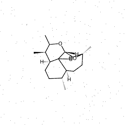 CC1O[C@@H]2O[C@]3(C)CC[C@H]4[C@H](C)CC[C@@H]([C@H]1C)C24OO3